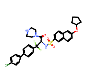 O=C([C@@H](NS(=O)(=O)c1ccc2cc(OC3CCCC3)ccc2c1)C(F)(F)c1ccc(-c2ccc(Cl)cc2)cc1)N1CCNCC1